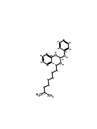 CC(C)CCCCCCCOP(Oc1ccccc1)Oc1ccccc1